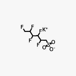 O=S(=O)([O-])CC(F)C(F)C(F)C(F)CF.[K+]